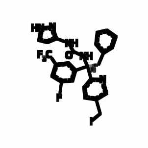 O=C(Nc1cc[nH]n1)N[C@](Cc1ccccc1)(c1cc(F)cc(C(F)(F)F)c1)c1ccc(CI)cn1